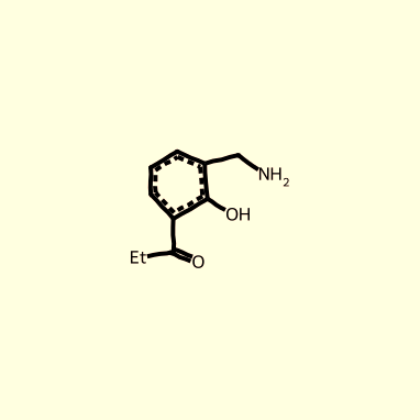 CCC(=O)c1cccc(CN)c1O